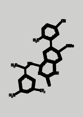 COc1cc2[nH]c(=O)nc(NC(C)c3cc(N)cc(C(F)(F)F)c3)c2cc1-c1cc(C#N)ccc1C